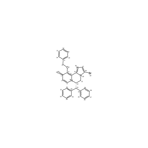 O=c1ccn2c(c1OCc1ccccc1)-c1ncc(Br)n1C[C@@H]2C(c1ccccc1)c1ccccc1